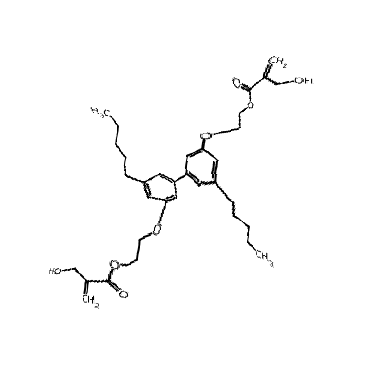 C=C(CO)C(=O)OCCOc1cc(CCCCC)cc(-c2cc(CCCCC)cc(OCCOC(=O)C(=C)CO)c2)c1